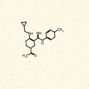 CC(=O)N1CCC(NCC2CC2)=C(C(=N)NC2=CCC(C)C=C2)C1